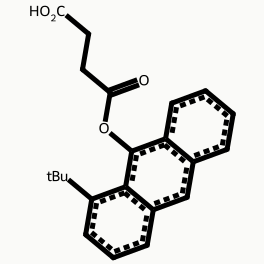 CC(C)(C)c1cccc2cc3ccccc3c(OC(=O)CCC(=O)O)c12